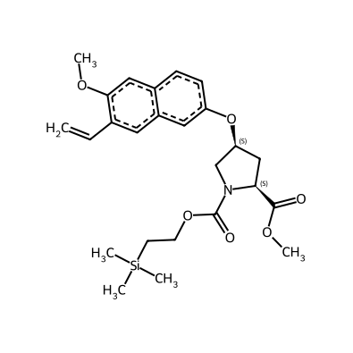 C=Cc1cc2cc(O[C@H]3C[C@@H](C(=O)OC)N(C(=O)OCC[Si](C)(C)C)C3)ccc2cc1OC